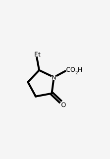 CCC1CCC(=O)N1C(=O)O